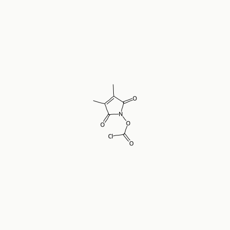 CC1=C(C)C(=O)N(OC(=O)Cl)C1=O